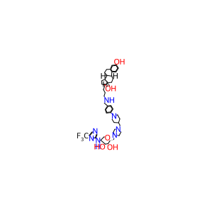 C[C@]12CC[C@@H]3c4ccc(O)cc4CC[C@H]3[C@@H]1CC[C@@]2(O)CCCNCc1ccc(N2CCC(CN3CCN(C[C@H]4OC[C@H](Nc5cncc(C(F)(F)F)n5)[C@@H](O)[C@H]4O)CC3)CC2)cc1